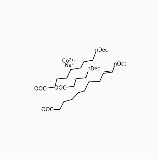 CCCCCCCCC=CCCCCCCCC(=O)[O-].CCCCCCCCCCCCCC(=O)[O-].CCCCCCCCCCCCCCCCCC(=O)[O-].[Co+2].[Na+]